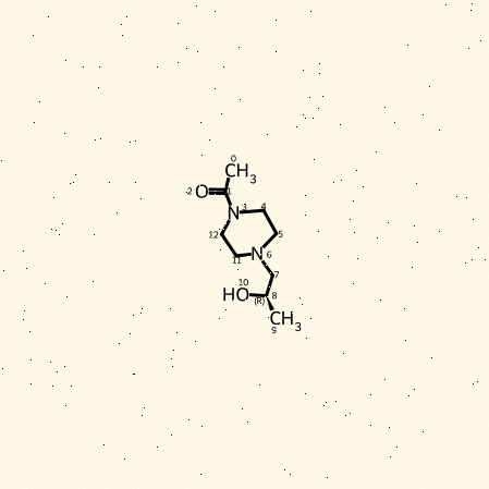 CC(=O)N1CCN(C[C@@H](C)O)CC1